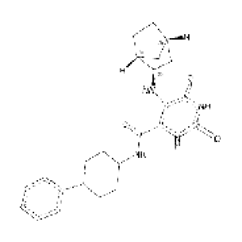 O=C(NC1CCC(c2ccccc2)CC1)c1[nH]c(=O)[nH]c(=O)c1N[C@@H]1C[C@H]2CC[C@@H]1C2